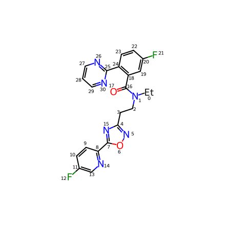 CCN(CCc1noc(-c2ccc(F)cn2)n1)C(=O)c1cc(F)ccc1-c1ncccn1